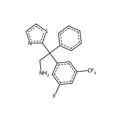 NCC(c1ccccc1)(c1cc(F)cc(C(F)(F)F)c1)c1nccs1